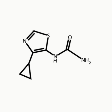 NC(=O)Nc1s[c]nc1C1CC1